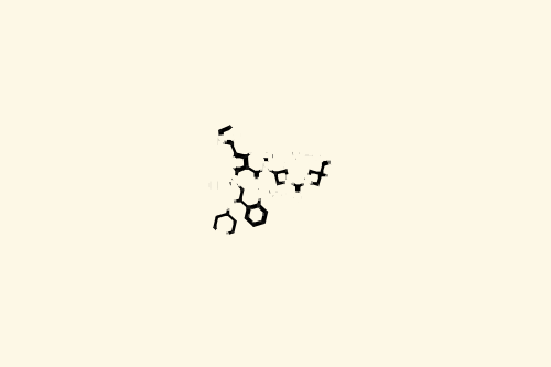 COC(=O)C1(C)CN(C(=O)N2CC(N(C)C(=O)c3c(N(C=O)CC(OC4CCOCC4)c4ccccc4OC)sc(-c4ncco4)c3C)C2)C1